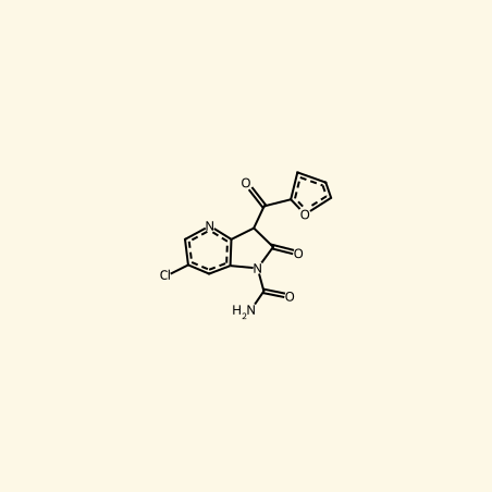 NC(=O)N1C(=O)C(C(=O)c2ccco2)c2ncc(Cl)cc21